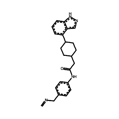 C=NCc1ccc(NC(=O)CC2CCC(c3cccc4[nH]ncc34)CC2)cc1